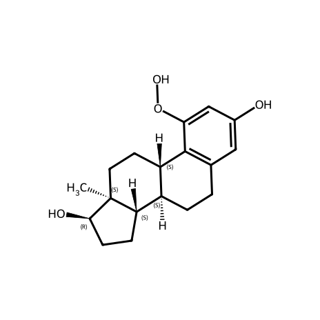 C[C@]12CC[C@@H]3c4c(cc(O)cc4OO)CC[C@H]3[C@@H]1CC[C@H]2O